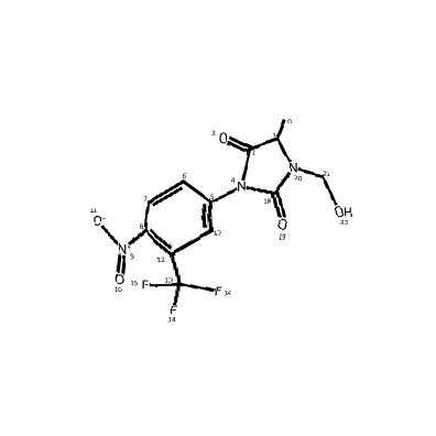 CC1C(=O)N(c2ccc([N+](=O)[O-])c(C(F)(F)F)c2)C(=O)N1CO